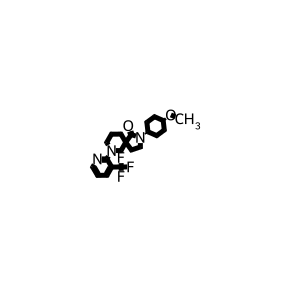 CO[C@H]1CC[C@H](N2CCC3(CCCN(c4ncccc4C(F)(F)F)C3)C2=O)CC1